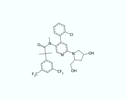 CN(C(=O)C(C)(C)c1cc(C(F)(F)F)cc(C(F)(F)F)c1)c1cnc(N2CC(O)CC2CO)cc1-c1ccccc1Cl